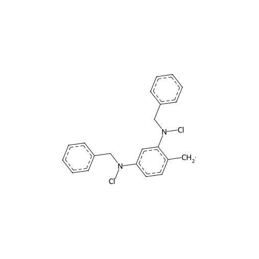 [CH2]c1ccc(N(Cl)Cc2ccccc2)cc1N(Cl)Cc1ccccc1